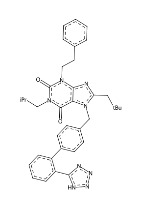 CC(C)Cn1c(=O)c2c(nc(CC(C)(C)C)n2Cc2ccc(-c3ccccc3-c3nnn[nH]3)cc2)n(CCc2ccccc2)c1=O